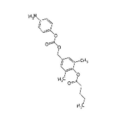 CCCCC(=O)Oc1c(C)cc(COC(=O)Oc2ccc(N)cc2)cc1C